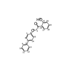 O=C(COc1ccc(-c2ccccc2)cc1)c1ccccc1O